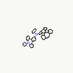 C1=Cc2ccccc2C2(c3ccccc31)c1ccccc1-c1cc(N(c3ccccc3)c3ccc4c(c3)-c3ccccc3N(c3ccccc3)c3ccccc3-4)ccc12